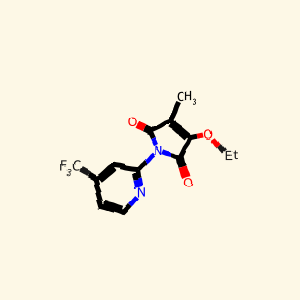 CCOC1=C(C)C(=O)N(c2cc(C(F)(F)F)ccn2)C1=O